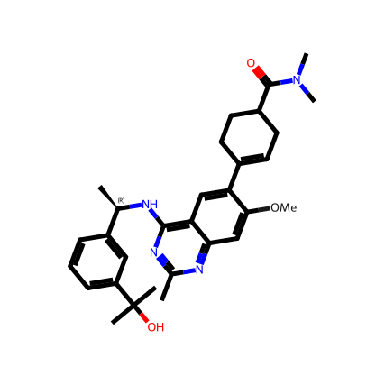 COc1cc2nc(C)nc(N[C@H](C)c3cccc(C(C)(C)O)c3)c2cc1C1=CCC(C(=O)N(C)C)CC1